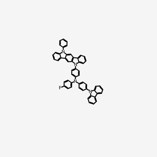 Fc1ccc(N(c2ccc(-n3c4ccccc4c4ccccc43)cc2)c2ccc(-n3c4ccccc4c4cc5c(cc43)c3ccccc3n5-c3ccccc3)cc2)cc1